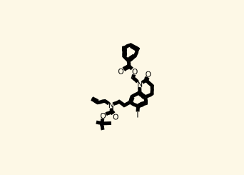 C=CCN(CCc1cc2c(cc1I)CCC(=O)N2COC(=O)c1ccccc1)C(=O)OC(C)(C)C